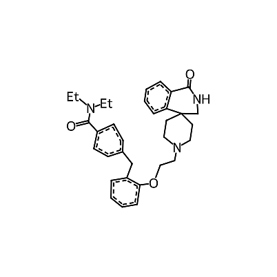 CCN(CC)C(=O)c1ccc(Cc2ccccc2OCCN2CCC3(CC2)CNC(=O)c2ccccc23)cc1